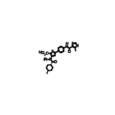 Cc1ncsc1C(=O)Nc1ccc(-c2cc(N(C(=O)[C@H]3CC[C@H](C)CC3)C(C)C)c(C(=O)O)s2)cc1